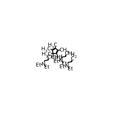 C=CCN(CC)CC.C=CCN(CC)CC.C=CCN(CC)CC.CC1=C(C)C(C)(C)[C]([Hf])=C1C